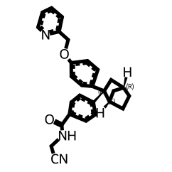 N#CCNC(=O)c1ccc([C@@]2(c3ccc(OCc4ccccn4)cc3)C[C@@H]3CC[C@H]2C3)cc1